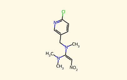 CN(C)/C(=C\[N+](=O)[O-])N(C)Cc1ccc(Cl)nc1